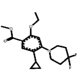 CCOc1cc(N2CCC(F)(F)CC2)c(C2CC2)cc1C(=O)OC